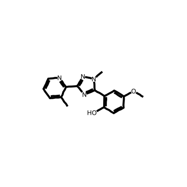 COc1ccc(O)c(-c2nc(-c3ncccc3C)nn2C)c1